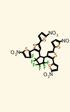 O=[N+]([O-])c1ccc(-c2cc(C3C(c4cc(-c5ccc([N+](=O)[O-])s5)sc4-c4ccc([N+](=O)[O-])s4)C(F)(F)C(F)(F)C3(F)F)c(-c3ccc([N+](=O)[O-])s3)s2)s1